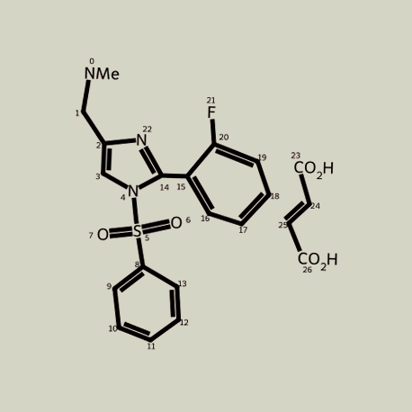 CNCc1cn(S(=O)(=O)c2ccccc2)c(-c2ccccc2F)n1.O=C(O)/C=C/C(=O)O